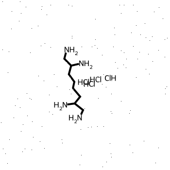 Cl.Cl.Cl.Cl.NCC(N)CCCCC(N)CN